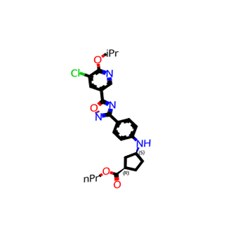 CCCOC(=O)[C@@H]1CC[C@H](Nc2ccc(-c3noc(-c4cnc(OC(C)C)c(Cl)c4)n3)cc2)C1